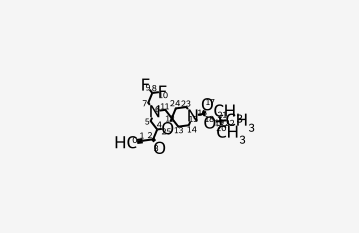 C#CC(=O)C1CN(CC(F)F)CC2(CCN(C(=O)OC(C)(C)C)CC2)O1